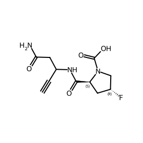 C#CC(CC(N)=O)NC(=O)[C@@H]1C[C@@H](F)CN1C(=O)O